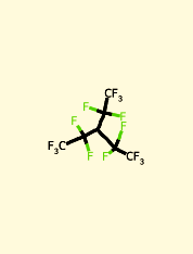 FC(F)(F)C(F)(F)[C](C(F)(F)C(F)(F)F)C(F)(F)C(F)(F)F